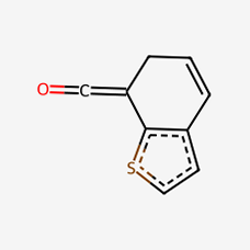 O=C=C1CC=Cc2ccsc21